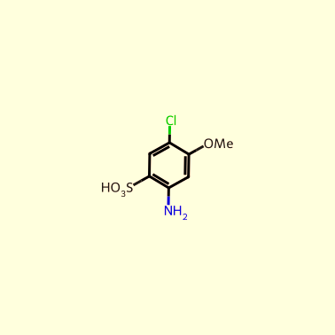 COc1cc(N)c(S(=O)(=O)O)cc1Cl